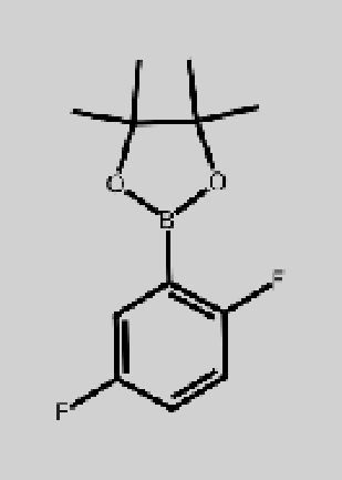 CC1(C)OB(c2cc(F)ccc2F)OC1(C)C